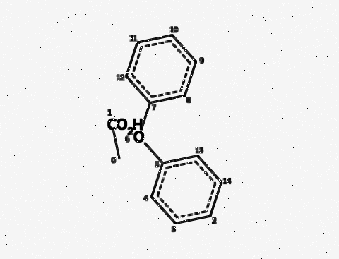 CC(=O)O.c1ccc(Oc2ccccc2)cc1